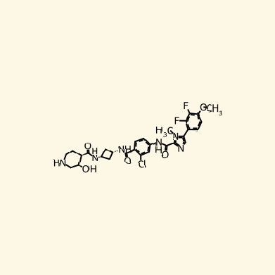 COc1ccc(-c2cnc(C(=O)Nc3ccc(C(=O)N[C@H]4C[C@@H](NC(=O)[C@@H]5CCNC[C@@H]5O)C4)c(Cl)c3)n2C)c(F)c1F